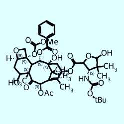 COC(=O)O[C@@]12CO[C@@H]1CC(O)[C@@]1(C)C(=O)[C@H](OC(C)=O)C3=C(C)[C@H](OC(=O)C4OC(O)C(C)(C)[C@@H]4NC(=O)OC(C)(C)C)C[C@@](O)([C@@H](OC(=O)c4ccccc4)C12)C3(C)C